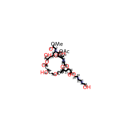 COC(=O)/C=C1\CC2C[C@H](CO)OC(=O)C[C@H](O)CCOCC[C@@H]3C[C@H](CC(=O)OC/C=C/C=C/CO)O[C@H](/C=C/C(C)(C)[C@](O)(O2)[C@H]1OC(C)=O)O3